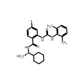 Cc1cccc(C)c1NC(=O)Nc1cc(F)ccc1C(=O)N[C@H](C(=O)O)C1CCCCC1